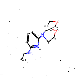 CCNc1cccc(N2CCO[C@@]3(CCOC3)C2)n1